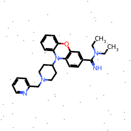 CCN(CC)C(=N)c1ccc2c(c1)Oc1ccccc1N2C1CCN(Cc2ccccn2)CC1